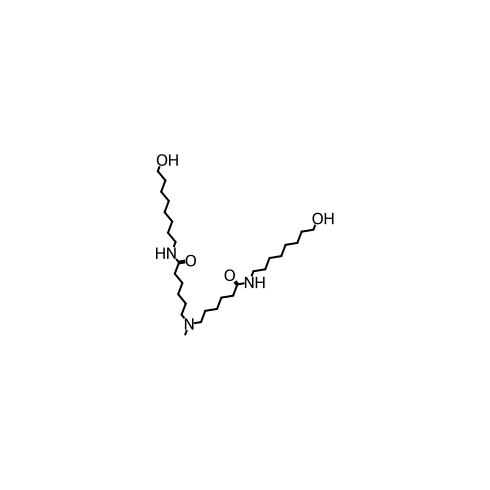 CN(CCCCCC(=O)NCCCCCCCCO)CCCCCC(=O)NCCCCCCCCO